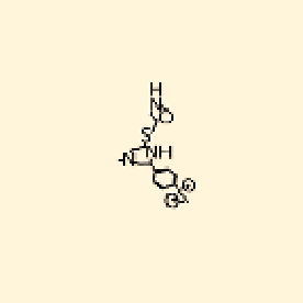 CN1CC(SCC2CNCO2)NC(c2ccc(S(C)(=O)=O)cc2)C1